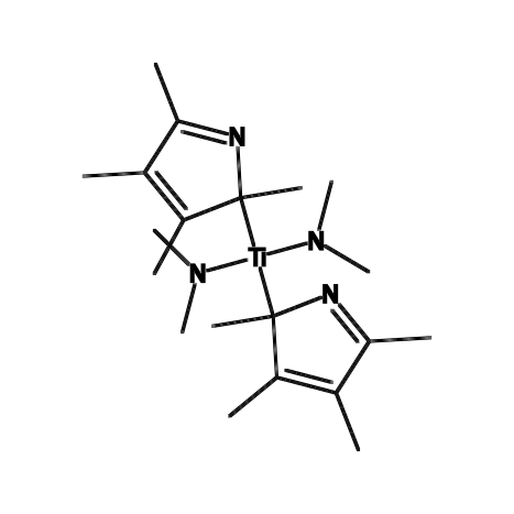 CC1=N[C](C)([Ti]([N](C)C)([N](C)C)[C]2(C)N=C(C)C(C)=C2C)C(C)=C1C